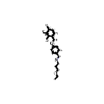 CCOCCC/N=C/c1ccc(OCc2ccc(C)c(C)c2C)cc1